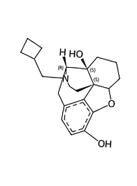 Oc1ccc2c3c1OC1CCC[C@@]4(O)[C@@H](C2)N(CC2CCC2)CC[C@]314